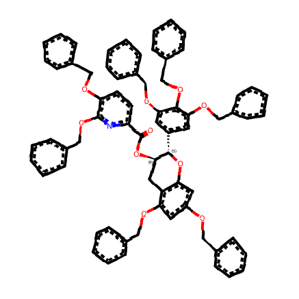 O=C(O[C@@H]1Cc2c(OCc3ccccc3)cc(OCc3ccccc3)cc2O[C@H]1c1cc(OCc2ccccc2)c(OCc2ccccc2)c(OCc2ccccc2)c1)c1ccc(OCc2ccccc2)c(OCc2ccccc2)n1